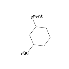 CC[CH]CCC1CCCC(CCCC)C1